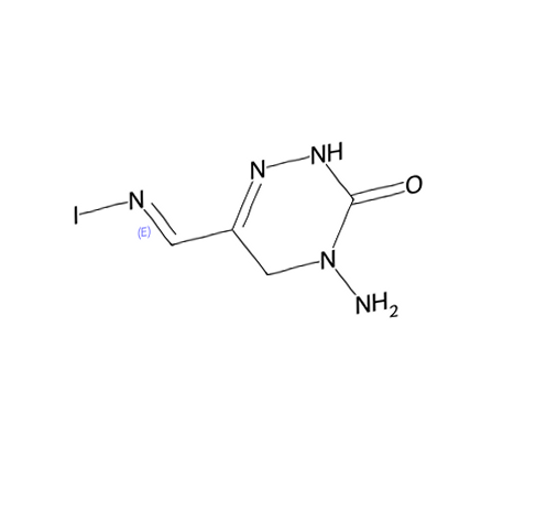 NN1CC(/C=N/I)=NNC1=O